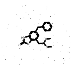 COC(Cc1cc(Cc2ccccc2)cc2c1[N]C(=O)N2)OC